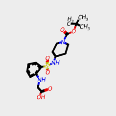 CC(C)(C)OC(=O)N1CCC(NS(=O)(=O)c2ccccc2NCC(=O)O)CC1